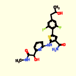 CNC(=O)C(O)c1cccc(Nc2sc(-c3c(F)cc(CC(C)O)cc3F)cc2C(N)=O)n1